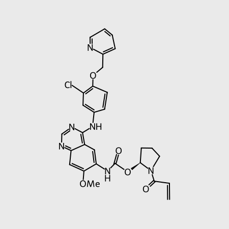 C=CC(=O)N1CCC[C@@H]1OC(=O)Nc1cc2c(Nc3ccc(OCc4ccccn4)c(Cl)c3)ncnc2cc1OC